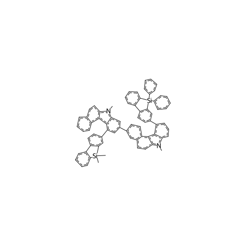 Cn1c2cccc(-c3ccc4c(c3)[Si](c3ccccc3)(c3ccccc3)c3ccccc3-4)c2c2c3ccc(-c4cc(-c5ccc6c(c5)[Si](C)(C)c5ccccc5-6)c5c6c7ccccc7ccc6n(C)c5c4)cc3ccc21